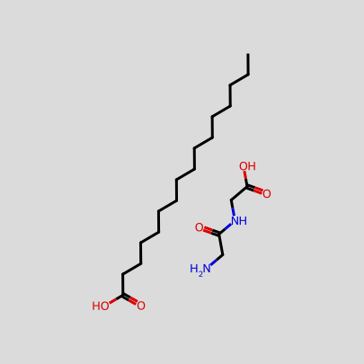 CCCCCCCCCCCCCCCC(=O)O.NCC(=O)NCC(=O)O